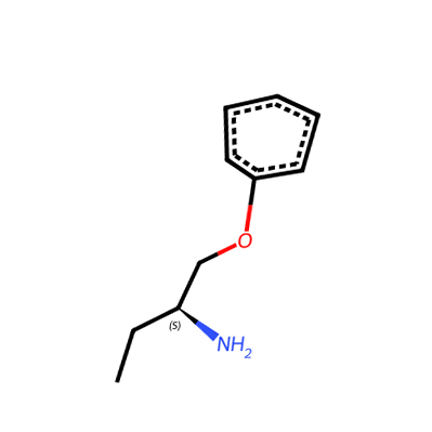 CC[C@H](N)COc1ccccc1